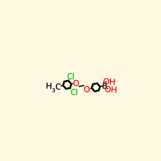 Cc1cc(Cl)c(OCCOc2ccc(B(O)O)cc2)c(Cl)c1